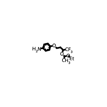 CCOC(C)OC(CCOc1ccc(N)cc1)C(F)(F)F